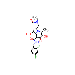 CCN(C=O)CC1CC(O)c2c(C(=O)NCc3ccc(F)cc3F)c(=O)c(O)c(C)n21